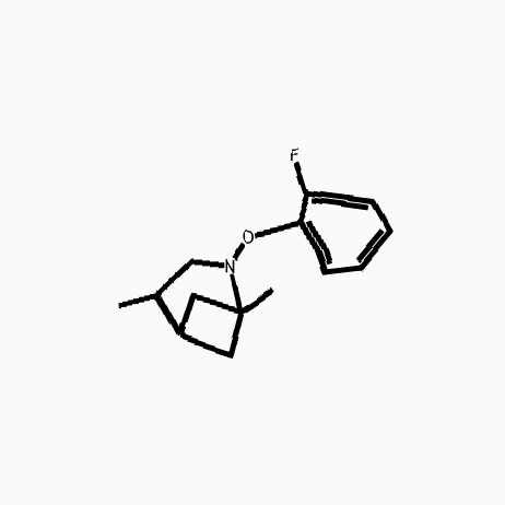 CC1CN(Oc2ccccc2F)C2(C)CC1C2